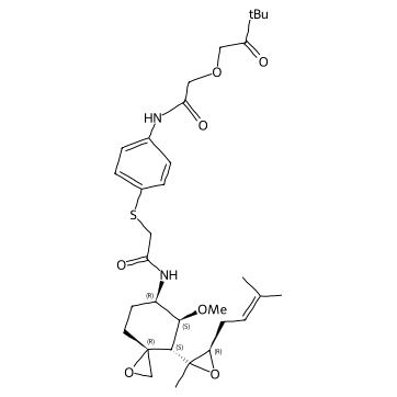 CO[C@H]1[C@H](C2(C)O[C@@H]2CC=C(C)C)[C@]2(CC[C@H]1NC(=O)CSc1ccc(NC(=O)COCC(=O)C(C)(C)C)cc1)CO2